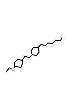 CCCCCCCC1CCC(CCC2CCC(OCC)CC2)CC1